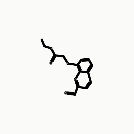 CCOC(=O)COc1cccc2ccc(C=O)nc12